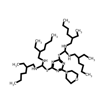 CCCCC(CC)CNC(NCC(CC)CCCC)Sc1nc(SC(NCC(CC)CCCC)NCC(CC)CCCC)nc(N2CCOCC2)n1